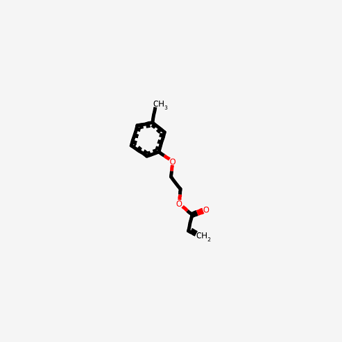 C=CC(=O)OCCOc1cccc(C)c1